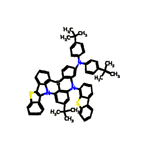 CC(C)(C)c1ccc(N(c2ccc(C(C)(C)C)cc2)c2ccc3c(c2)N(c2cccc4c2sc2ccccc24)c2cc(C(C)(C)C)cc4c2B3c2cccc3c5sc6ccccc6c5n-4c23)cc1